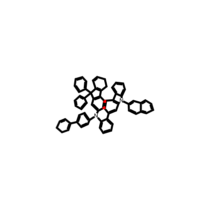 c1c(-c2ccccc2N(C2=CC3=C(CC2)C2=C(C=CCC2)C3(c2ccccc2)c2ccccc2)c2ccc(C3=CCCC=C3)cc2)cc2c(c#1)c1ccccc1n2-c1ccc2ccccc2c1